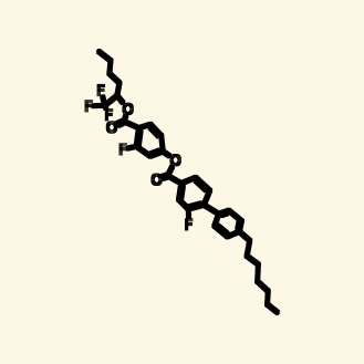 CCCCCCCc1ccc(-c2ccc(C(=O)Oc3ccc(C(=O)OC(CCCC)C(F)(F)F)c(F)c3)cc2F)cc1